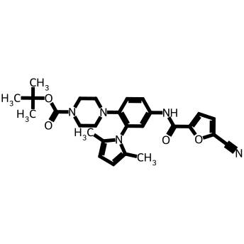 Cc1ccc(C)n1-c1cc(NC(=O)c2ccc(C#N)o2)ccc1N1CCN(C(=O)OC(C)(C)C)CC1